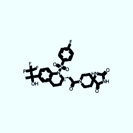 CC(O)(c1ccc2c(c1)CC[C@@H](CC(=O)N1CCC3(CC1)NC(=O)NC3=O)N2S(=O)(=O)c1ccc(F)cc1)C(F)(F)F